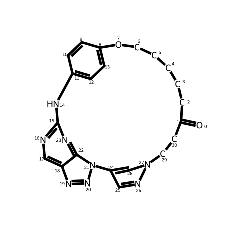 O=C1CCCCCOc2ccc(cc2)Nc2ncc3nnn(c3n2)-c2cnn(c2)CC1